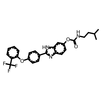 CC(C)CCNC(=O)Oc1ccc2nc(-c3ccc(Oc4ccccc4C(F)(F)F)cc3)[nH]c2c1